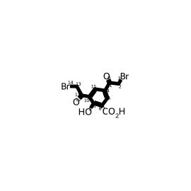 O=C(CBr)c1cc(C(=O)O)c(O)c(C(=O)CBr)c1